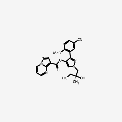 COc1ccc(C#N)cc1-c1nn(C[C@@](C)(O)CO)cc1OC(=O)c1cnn2cccnc12